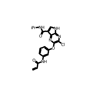 C=CC(=O)Nc1cccc(Oc2nc3c(C(=O)NC(C)C)c[nH]c3nc2Cl)c1